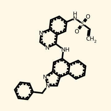 C=CS(=O)(=O)Nc1ccc2ncnc(Nc3cc4nn(Cc5ccccc5)cc4c4ccccc34)c2c1